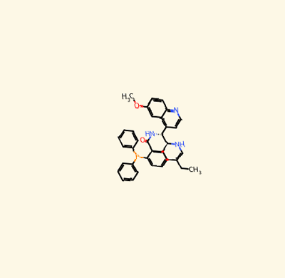 CCC1=CN[C@H]([C@H](NC(=O)c2ccccc2P(c2ccccc2)c2ccccc2)c2ccnc3ccc(OC)cc23)CC1